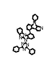 c1ccc(-c2nc(-c3ccccc3)nc(-n3c4cccc(-c5cccc6c5c5ccncc5n6-c5ccccc5)c4n4c5ccccc5nc34)n2)cc1